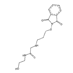 O=C(CNCCCON1C(=O)c2ccccc2C1=O)NCCO